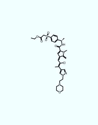 C=c1/c(=C\C(Cl)=C(/C)c2cnn(CCN3CCOCC3)c2)cc(C(=O)N[C@H](C)c2ccc(S(=O)(=O)CC(=O)OCC)cc2)n1C